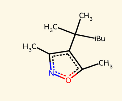 CCC(C)C(C)(C)c1c(C)noc1C